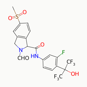 CS(=O)(=O)c1ccc2c(c1)CN(C=O)C2C(=O)Nc1ccc(C(O)(C(F)(F)F)C(F)(F)F)c(F)c1